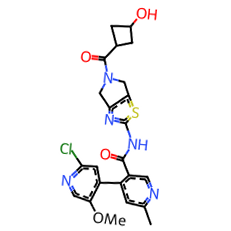 COc1cnc(Cl)cc1-c1cc(C)ncc1C(=O)Nc1nc2c(s1)CN(C(=O)C1CC(O)C1)C2